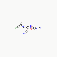 Cc1cc(S(=O)(=O)NC(=O)c2ccc(N3CCN(Cc4ccccc4-c4ccc(Cl)cc4)CC3)cc2Oc2ccc3[nH]ccc3c2)ccc1NCCCN(C)C